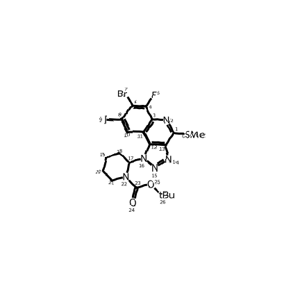 CSc1nc2c(F)c(Br)c(I)cc2c2c1nnn2C1CCCCN1C(=O)OC(C)(C)C